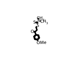 COc1ccc(C(=O)CCSC(=S)N(C)C)cc1